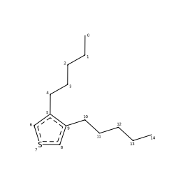 CCCCCc1cscc1CCCCC